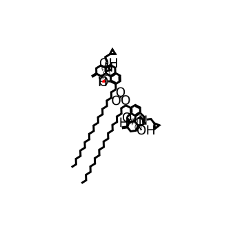 C=C1CC[C@@]2(O)C3Cc4ccc(C(CCCCCCCCCCCCCCCCCCC)OC(=O)OC(CCCCCCCCCCCCCCCCCCC)c5ccc6c7c5O[C@H]5C(=C)CC[C@@]8(O)C(C6)N(CC6CC6)CC[C@]758)c5c4[C@@]2(CCN3CC2CC2)[C@H]1O5